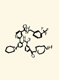 O=C(NCc1cccc(C(F)(F)F)c1)c1ccnc(-c2cc(N3CCCCC3)ccc2NC(=O)c2cccc(C(=O)N3CCCNCC3)c2)c1